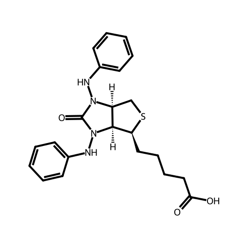 O=C(O)CCCC[C@@H]1SC[C@H]2[C@@H]1N(Nc1ccccc1)C(=O)N2Nc1ccccc1